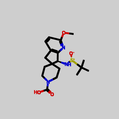 COc1ccc2c(n1)[C@@H](N[S@+]([O-])C(C)(C)C)C1(CCN(C(=O)O)CC1)C2